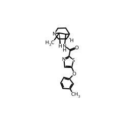 Cc1cccc(Oc2cnc(C(=O)N[C@@H]3C4CCN(CC4)[C@H]3C)s2)c1